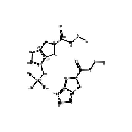 CCOC(=O)C1Cc2c[nH]nc2C1.CCOC(=O)C1Cc2cnn(CC(F)(F)F)c2C1